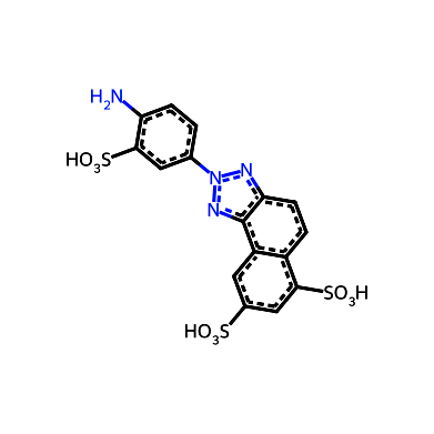 Nc1ccc(-n2nc3ccc4c(S(=O)(=O)O)cc(S(=O)(=O)O)cc4c3n2)cc1S(=O)(=O)O